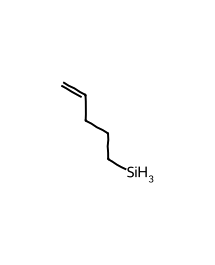 C=CCCC[SiH3]